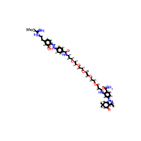 COC(=N)NCCc1ccc(/N=N/c2ccc(C(=O)NCCCOCCOCCOCCOCCOCCCNc3cc(-n4nc(C)c5c4CC(C)(C)CC5=O)ccc3C(N)=O)cc2)c(O)c1